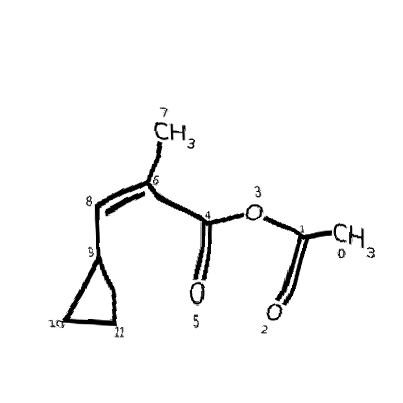 CC(=O)OC(=O)C(C)=CC1CC1